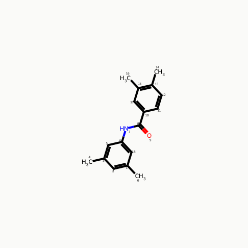 Cc1cc(C)cc(NC(=O)c2ccc(C)c(C)c2)c1